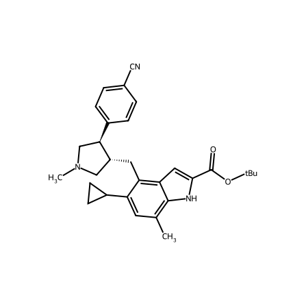 Cc1cc(C2CC2)c(C[C@@H]2CN(C)C[C@H]2c2ccc(C#N)cc2)c2cc(C(=O)OC(C)(C)C)[nH]c12